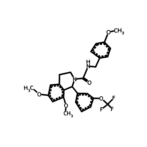 COc1ccc(CNC(=O)N2CCc3cc(OC)cc(OC)c3C2c2cccc(OC(F)(F)F)c2)cc1